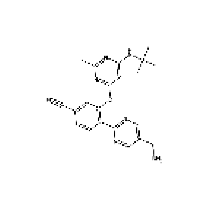 Cc1nc(NC(C)(C)C)cc(Oc2cc(C#N)ccc2-c2ncc(CN)cn2)n1